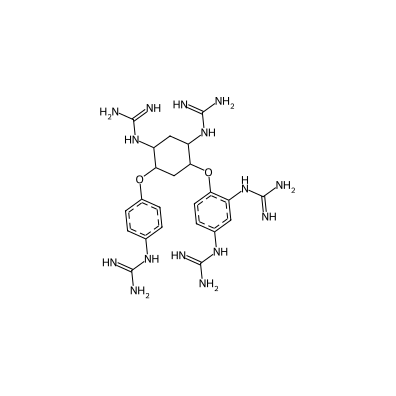 N=C(N)Nc1ccc(OC2CC(Oc3ccc(NC(=N)N)cc3NC(=N)N)C(NC(=N)N)CC2NC(=N)N)cc1